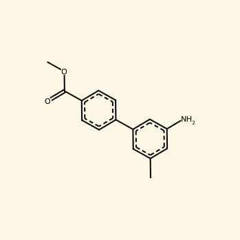 COC(=O)c1ccc(-c2cc(C)cc(N)c2)cc1